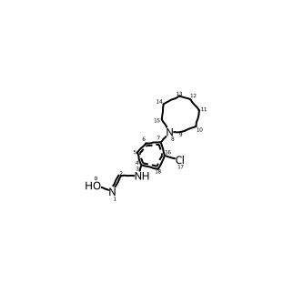 O/N=C/Nc1ccc(N2CCCCCCC2)c(Cl)c1